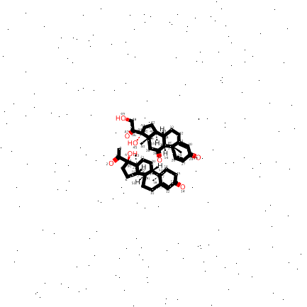 CC(=O)[C@@]1(O)CC[C@H]2[C@@H]3CCC4=CC(=O)CC[C@]4(C)[C@H]3CC[C@@]21C.C[C@]12C=CC(=O)C=C1CC[C@@H]1[C@@H]2C(=O)C[C@@]2(C)[C@H]1CC[C@]2(O)C(=O)CO